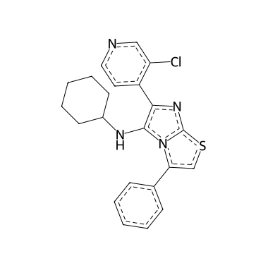 Clc1cnccc1-c1nc2scc(-c3ccccc3)n2c1NC1CCCCC1